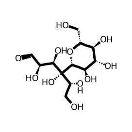 O=C[C@H](O)[C@@H](O)[C@](O)([C@H](O)CO)[C@@H]1O[C@H](CO)[C@@H](O)[C@H](O)[C@H]1O